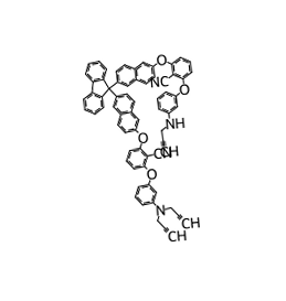 C#CCNc1cccc(Oc2cccc(Oc3ccc4cc(C5(c6ccc7cc(Oc8cccc(Oc9cccc(N(CC#C)CC#C)c9)c8C#N)ccc7c6)c6ccccc6-c6ccccc65)ccc4c3)c2C#N)c1